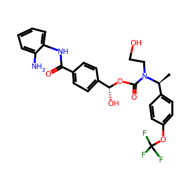 C[C@@H](c1ccc(OC(F)(F)F)cc1)N(CCO)C(=O)O[C@H](O)c1ccc(C(=O)Nc2ccccc2N)cc1